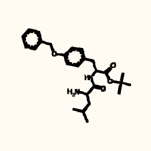 CC(C)CC(N)C(=O)NC(Cc1ccc(OCc2ccccc2)cc1)C(=O)OC(C)(C)C